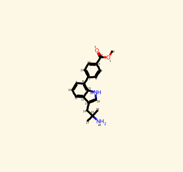 COC(=O)c1ccc(-c2cccc3c(CC(C)(C)N)c[nH]c23)cc1